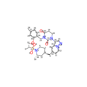 CCS(=O)(=O)N1CC[C@@H](Cc2ccn3ncc(N4CCC(=O)N(Cc5ccc(C)cc5OC)C4=O)c3c2)C[C@@H]1C